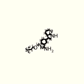 C[Si](C)(C)CCOCn1nc(N)c2cc(-c3c[nH]c4ncccc34)ccc21